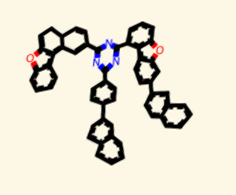 C1=CC2CC=c3oc4ccccc4c3=C2C=C1c1nc(-c2ccc(-c3ccc4ccccc4c3)cc2)nc(-c2cccc3oc4cc(-c5ccc6ccccc6c5)ccc4c23)n1